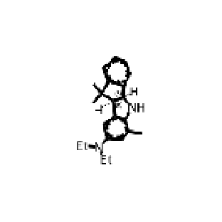 CCN(CC)c1cc(C)c2c(c1)[C@@H]1[C@H](N2)c2ccccc2C1(C)C